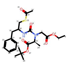 CCOC(=O)CN(C(=O)NC(CSC(C)=O)Cc1ccccc1)[C@@H](C)C(=O)OC(C)(C)C